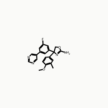 COc1ccc(C2(c3cc(F)cc(-c4cncnc4)c3)COC(N)=N2)cc1C